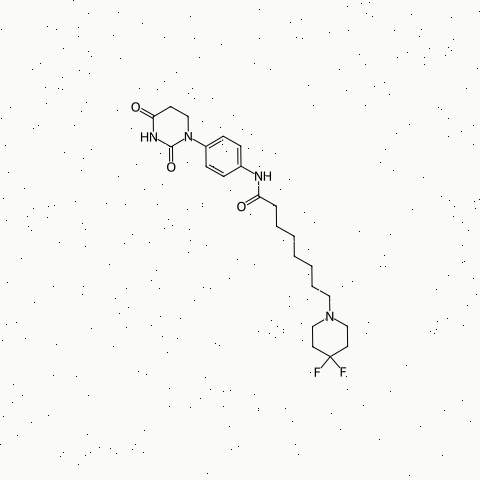 O=C1CCN(c2ccc(NC(=O)CCCCCCCN3CCC(F)(F)CC3)cc2)C(=O)N1